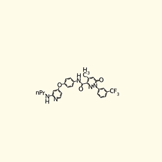 CCCNc1cc(Oc2ccc(NC(=O)c3nn(-c4cccc(C(F)(F)F)c4)c(=O)cc3C)cc2)ccn1